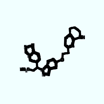 O=C(O)CC(c1ccc2nncn2c1)n1ncc2cc(OCCc3ccc4c(n3)NCCC4)ccc21